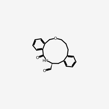 O=C[C@@H]1Cc2ccccc2CCCOCc2ccccc2C(=O)N1